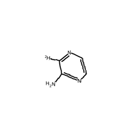 [2H]c1nccnc1N